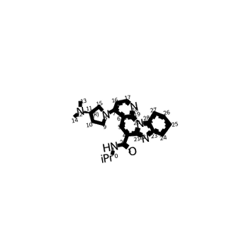 CC(C)NC(=O)c1cc2c(N3CC[C@@H](N(C)C)C3)ccnc2n2c1nc1ccccc12